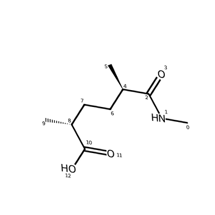 CNC(=O)[C@H](C)CC[C@@H](C)C(=O)O